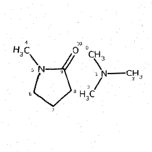 CN(C)C.CN1CCCC1=O